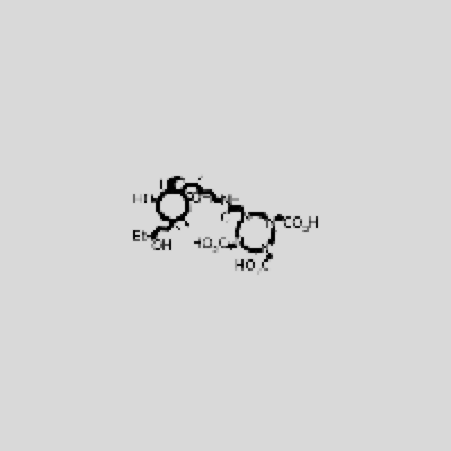 CC[C@H](O)CC[C@@]1(C)CC[C@@H](O)C[C@@H]2CC[C@H]([C@H](C)CCCNC(=O)CN3CCN(CC(=O)O)CCN(CC(=O)O)CCN(CC(=O)O)CC3)[C@@]2(C)[C@@H](O)C[C@H]1C